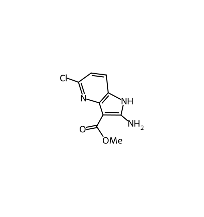 COC(=O)c1c(N)[nH]c2ccc(Cl)nc12